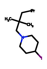 CC(C)CC(C)(C)CN1CCC(I)CC1